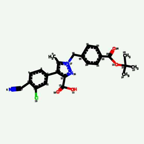 Cc1c(-c2ccc(C#N)c(Cl)c2)c(C(=O)O)nn1Cc1ccc(C(=O)OC(C)(C)C)cc1